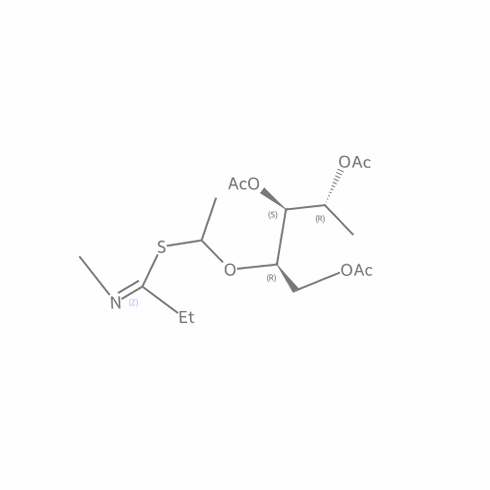 CC/C(=N/C)SC(C)O[C@H](COC(C)=O)[C@@H](OC(C)=O)[C@@H](C)OC(C)=O